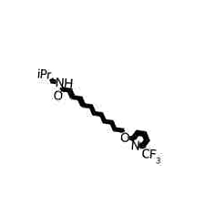 CC(C)CNC(=O)C=CC=CCCCCCCCOc1cccc(C(F)(F)F)n1